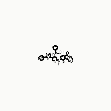 O=C1c2ccc(Nc3cc(N[C@H](CO)c4ccccc4)c(-c4nc(C56CCN(CC5)CC6)no4)cn3)c(F)c2C2COCCN12